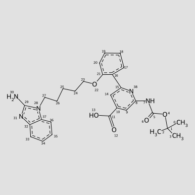 CC(C)(C)OC(=O)Nc1cc(C(=O)O)cc(-c2ccccc2OCCCCCn2c(N)nc3ccccc32)n1